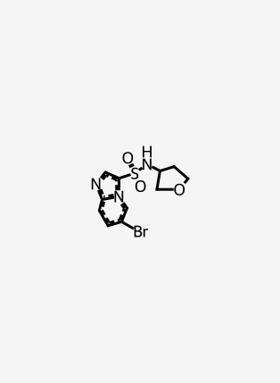 O=S(=O)(NC1CCOC1)c1cnc2ccc(Br)cn12